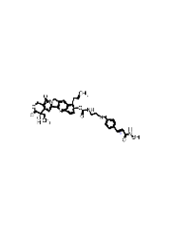 C=CCc1c(OC(=O)NCCNCc2ccc(/C=C/C(=O)NO)cc2)ccc2nc3c(cc12)Cn1c-3cc2c(c1=O)COC(=O)[C@]2(O)CC